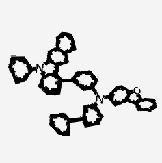 c1ccc(-c2cccc(N(c3cccc(-c4cccc5c4c4cc6ccccc6cc4n5-c4ccccc4)c3)c3ccc4oc5ccccc5c4c3)c2)cc1